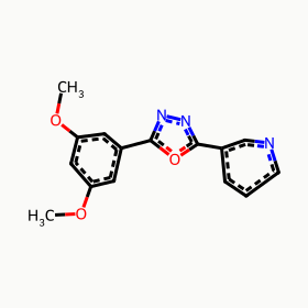 COc1cc(OC)cc(-c2nnc(-c3cccnc3)o2)c1